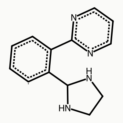 [c]1cccc(-c2ncccn2)c1C1NCCN1